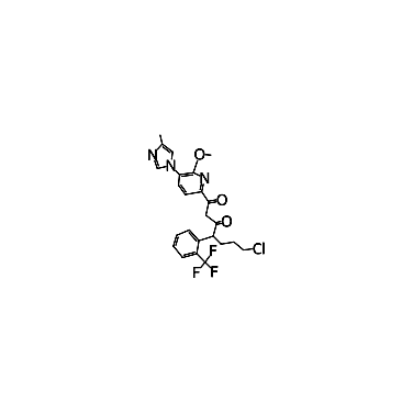 COc1nc(C(=O)CC(=O)C(CCCCl)c2ccccc2C(F)(F)F)ccc1-n1cnc(C)c1